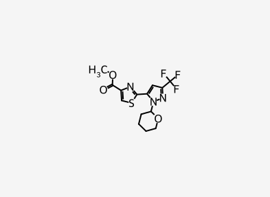 COC(=O)c1csc(-c2cc(C(F)(F)F)nn2C2CCCCO2)n1